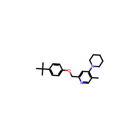 Cc1cnc(COc2ccc(C(C)(C)C)cc2)cc1N1CCCCC1